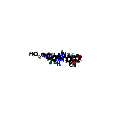 N#Cc1cc(-c2ncnc(Nc3ccc(N4CCN(C(=O)O)CC4)c(F)c3)n2)ccc1OC1CCOCC1F